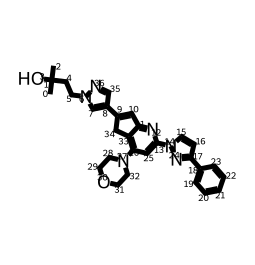 CC(C)(O)CCn1cc(C2=Cc3nc(-n4ccc(-c5ccccc5)n4)cc(N4CCOCC4)c3C2)cn1